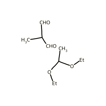 CC(C=O)C=O.CCOC(C)OCC